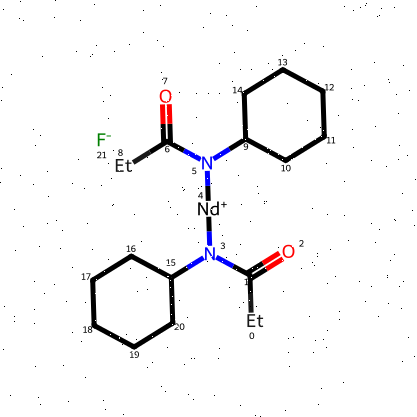 CCC(=O)[N]([Nd+][N](C(=O)CC)C1CCCCC1)C1CCCCC1.[F-]